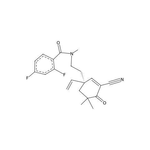 C=C[C@@]1(CCN(C)C(=O)c2ccc(F)cc2F)C=C(C#N)C(=O)C(C)(C)C1